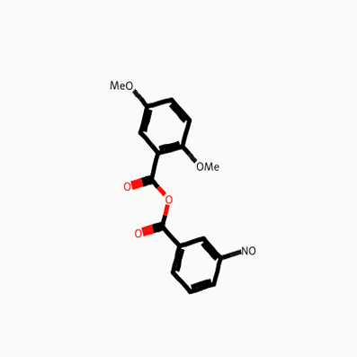 COc1ccc(OC)c(C(=O)OC(=O)c2cccc(N=O)c2)c1